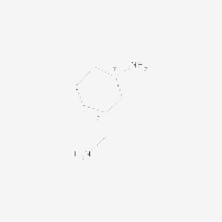 NC[C@@H]1CCC[C@H](N)C1